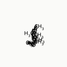 COCC1CCC2C(C[C@@]3(C)C4CCC5C(C)(C)C(OC6CN(C7COC7)CCO6)CCC56CC46CCC23C)O1